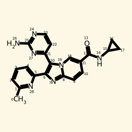 Cc1cccc(-c2nc3ccc(C(=O)NC4CC4)cn3c2-c2ccnc(N)n2)n1